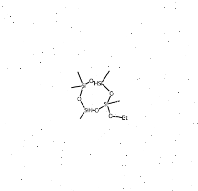 CCO[Si]1(C)O[SiH](C)O[Si](C)(C)O[SiH](C)O1